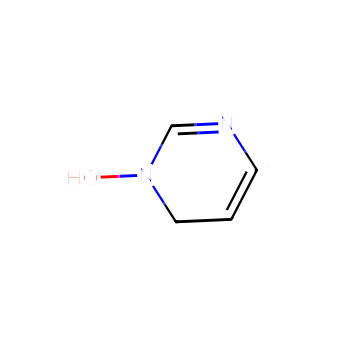 ON1C=[N+]C=CC1